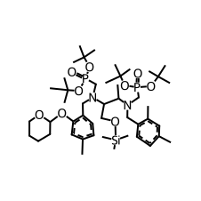 Cc1ccc(CN(CP(=O)(OC(C)(C)C)OC(C)(C)C)C(C)C(CO[Si](C)(C)C)N(Cc2ccc(C)cc2OC2CCCCO2)CP(=O)(OC(C)(C)C)OC(C)(C)C)c(C)c1